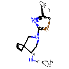 O=C(O)N[C@H]1CN(c2nc(C(F)(F)F)cs2)CC12CC2